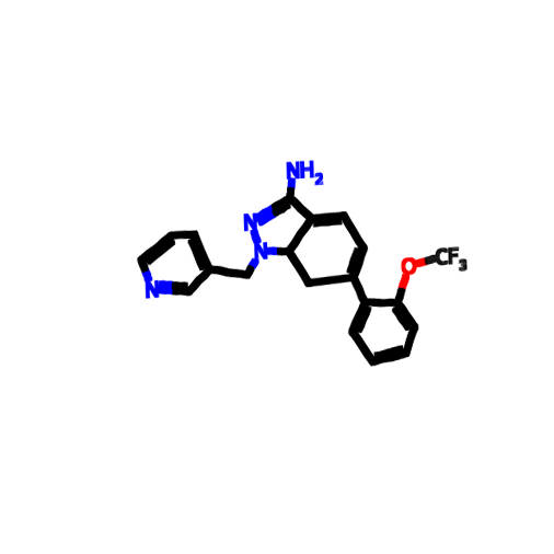 NC1=NN(Cc2cccnc2)C2CC(c3ccccc3OC(F)(F)F)=CC=C12